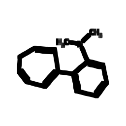 CN(C)c1ccccc1C1=CC=CCC=C1